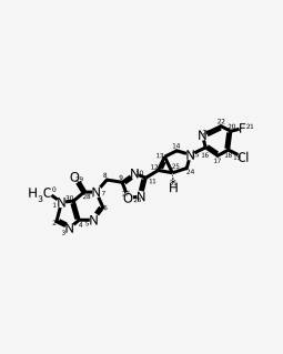 Cn1cnc2ncn(Cc3nc(C4=C5CN(c6cc(Cl)c(F)cn6)C[C@H]54)no3)c(=O)c21